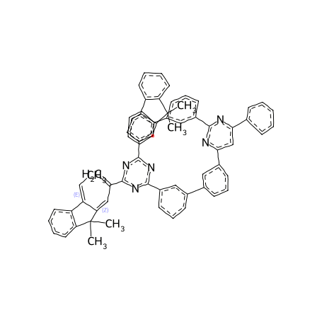 C=C(/C=C1\C(=C/C)c2ccccc2C1(C)C)c1nc(-c2cccc(-c3cccc(-c4cc(-c5ccccc5)nc(-c5cccc(-c6ccccc6)c5)n4)c3)c2)nc(-c2ccc3c(c2)C(C)(C)c2ccccc2-3)n1